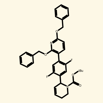 CC(C)(C)OC(=O)N1CCC=CC1c1cc(F)c(-c2ccc(OCc3ccccc3)nc2OCc2ccccc2)cc1F